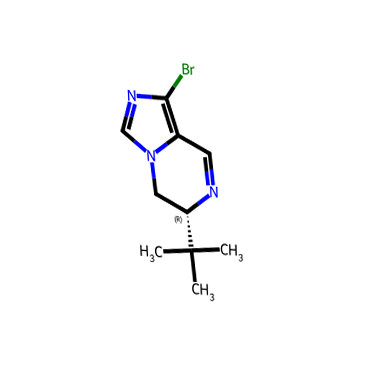 CC(C)(C)[C@@H]1Cn2cnc(Br)c2C=N1